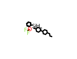 CCCC1CCC(C2CCC(C[SiH2]c3ccccc3OC(F)F)CC2)CC1